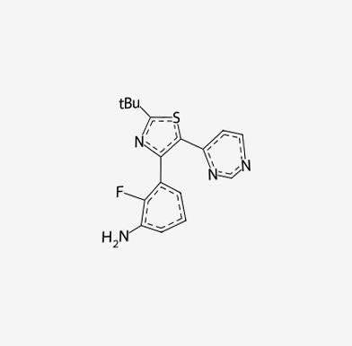 CC(C)(C)c1nc(-c2cccc(N)c2F)c(-c2ccncn2)s1